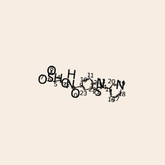 O=C(NCCC[SH](=O)=O)c1ccc2nc(-c3cccnc3)sc2c1